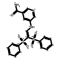 NC(=O)c1cncc(NC=C(S(=O)(=O)c2ccccc2)S(=O)(=O)c2ccccc2)c1